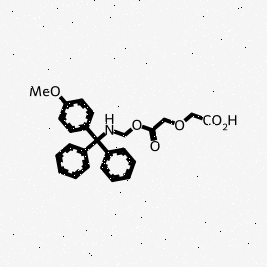 COc1ccc(C(NCOC(=O)COCC(=O)O)(c2ccccc2)c2ccccc2)cc1